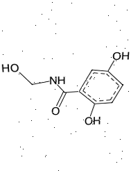 O=C(NCO)c1cc(O)ccc1O